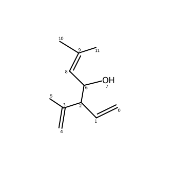 C=CC(C(=C)C)C(O)C=C(C)C